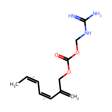 C=C(/C=C\C=C/C)COC(=O)OCNC(=N)N